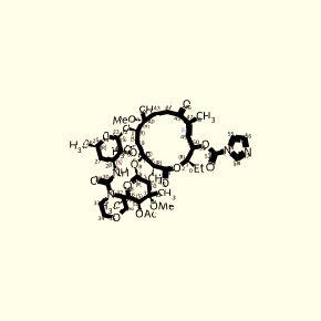 CC[C@H]1OC(=O)[C@H](C)[C@@H](O[C@H]2C[C@@](C)(OC)[C@@H](OC(C)=O)[C@H](C)O2)[C@H](C)[C@@H](O[C@@H]2O[C@H](C)C[C@H](NC(=O)N3CCOCC3)[C@H]2OC(C)=O)[C@](C)(OC)CCC(=O)/C(C)=C/C1OC(=O)n1ccnc1